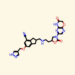 N#Cc1cc(OCc2cn[nH]c2)cc2c1CC(CNCCC1CN(c3cnc4c(n3)NC(=O)CO4)C(=O)O1)C2